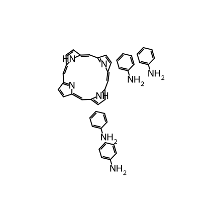 C1=Cc2cc3ccc(cc4nc(cc5ccc(cc1n2)[nH]5)C=C4)[nH]3.Nc1ccccc1.Nc1ccccc1.Nc1ccccc1.Nc1ccccc1